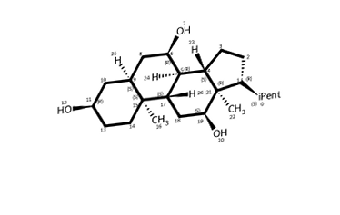 CCC[C@H](C)[C@H]1CC[C@H]2[C@@H]3[C@H](O)C[C@@H]4C[C@H](O)CC[C@]4(C)[C@H]3C[C@H](O)[C@]12C